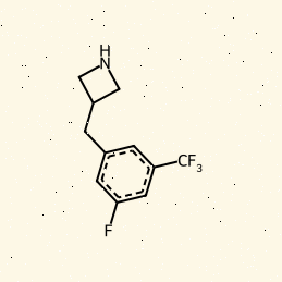 Fc1cc(CC2CNC2)cc(C(F)(F)F)c1